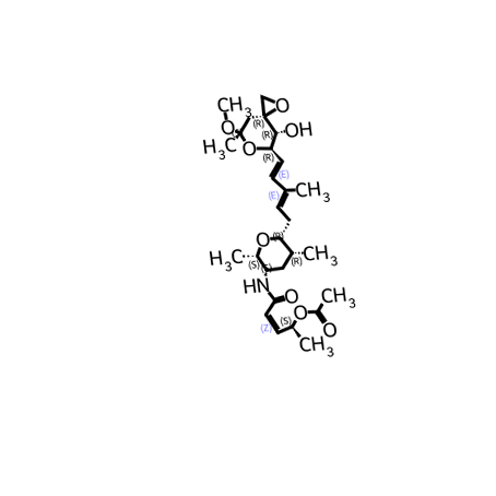 CO[C@]1(C)C[C@@]2(CO2)[C@H](O)[C@@H](/C=C/C(C)=C/C[C@H]2O[C@@H](C)[C@@H](NC(=O)/C=C\[C@H](C)OC(C)=O)C[C@H]2C)O1